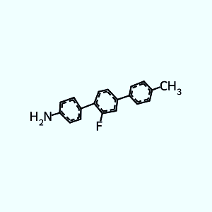 Cc1ccc(-c2ccc(-c3ccc(N)cc3)c(F)c2)cc1